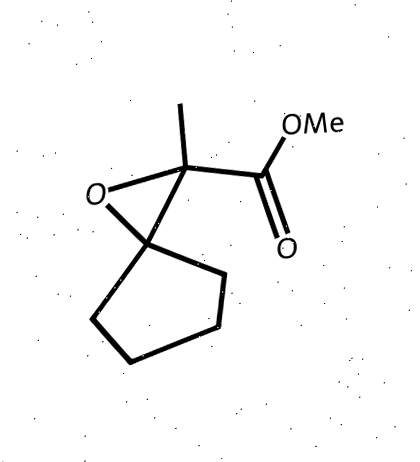 COC(=O)C1(C)OC12CCCC2